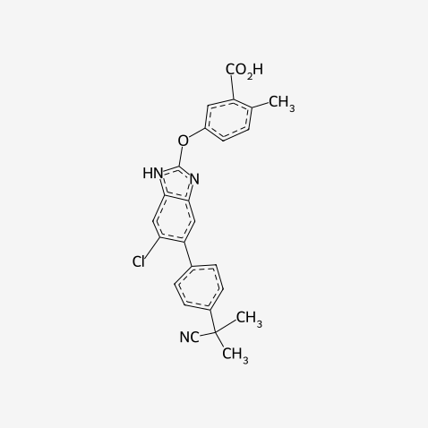 Cc1ccc(Oc2nc3cc(-c4ccc(C(C)(C)C#N)cc4)c(Cl)cc3[nH]2)cc1C(=O)O